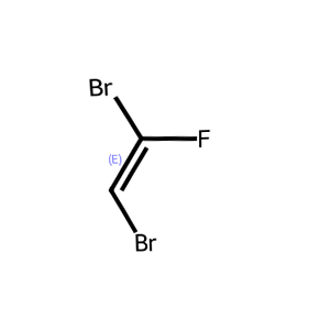 F/C(Br)=C\Br